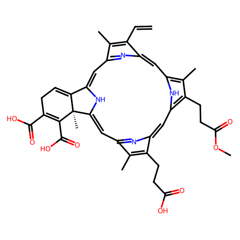 C=CC1=C(C)c2cc3[nH]c(cc4nc(cc5[nH]c(cc1n2)c(C)c5CCC(=O)OC)C(CCC(=O)O)=C4C)[C@]1(C)C3=CCC(C(=O)O)=C1C(=O)O